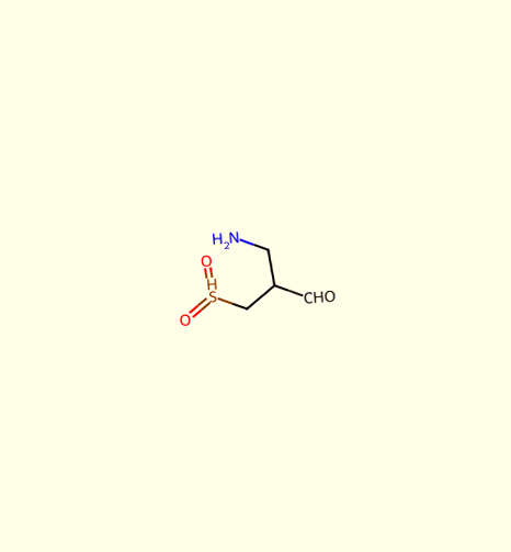 NCC(C=O)C[SH](=O)=O